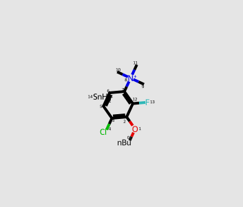 CCCCOc1c(Cl)ccc([N+](C)(C)C)c1F.[SnH2]